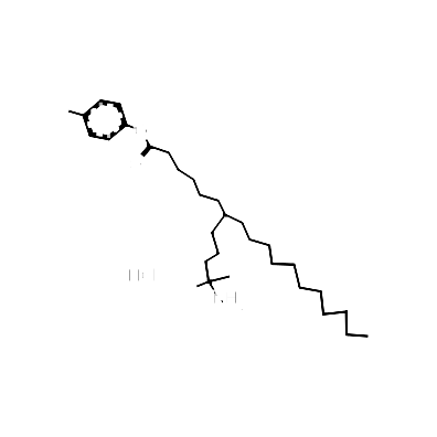 CCCCCCCCCCCC(CCCCCC(=O)Oc1ccc(C)cc1)CCCC(C)(C)N.Cl